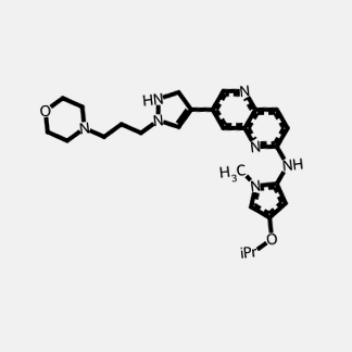 CC(C)Oc1cc(Nc2ccc3ncc(C4=CN(CCCN5CCOCC5)NC4)cc3n2)n(C)c1